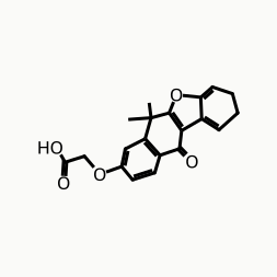 CC1(C)c2cc(OCC(=O)O)ccc2C(=O)c2c1oc1c2=CCCC=1